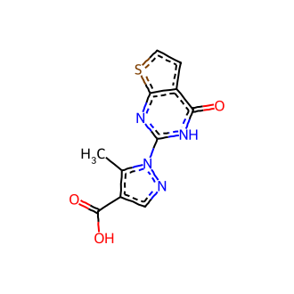 Cc1c(C(=O)O)cnn1-c1nc2sccc2c(=O)[nH]1